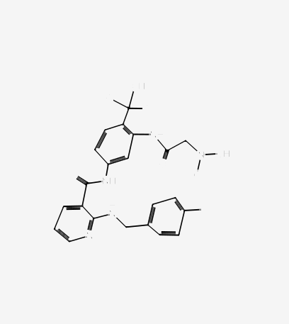 CN(C)CC(=O)Nc1cc(NC(=O)c2cccnc2NCc2ccc(F)cc2)ccc1C(C)(C)C